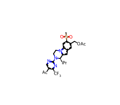 CC(=O)OCc1cc2cc3n(c2cc1S(C)(=O)=O)CCN(c1ncc(C(C)=O)c(C(F)(F)F)n1)[C@@H]3C(C)C